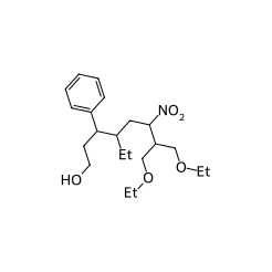 CCOCC(COCC)C(CC(CC)C(CCO)c1ccccc1)[N+](=O)[O-]